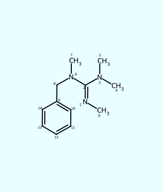 CN=C(N(C)C)N(C)Cc1ccccc1